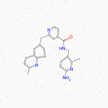 Cc1ccc2cc(Cc3cc(C(=O)NCc4ccc(N)nc4C)ccn3)ccc2n1